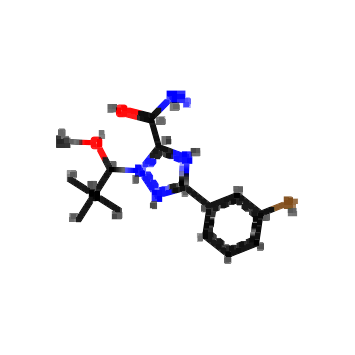 CCOC(n1nc(-c2cccc(Br)c2)nc1C(N)=O)[Si](C)(C)C